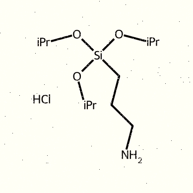 CC(C)O[Si](CCCN)(OC(C)C)OC(C)C.Cl